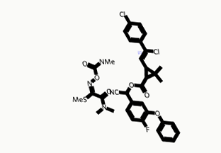 CC1(C)C(/C=C(\Cl)c2ccc(Cl)cc2)C1C(=O)OC(C#N)c1ccc(F)c(Oc2ccccc2)c1.CNC(=O)ON=C(SC)C(=O)N(C)C